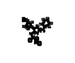 O=NOC(=O)CC1CN(Cc2ccccc2)CC1c1cc(Br)cs1